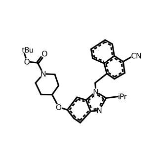 CC(C)c1nc2ccc(OC3CCN(C(=O)OC(C)(C)C)CC3)cc2n1Cc1ccc(C#N)c2ccccc12